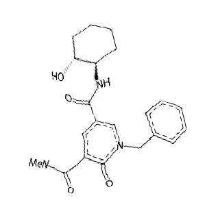 CNC(=O)c1cc(C(=O)N[C@@H]2CCCC[C@H]2O)cn(Cc2ccccc2)c1=O